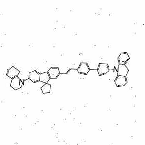 C1=CC2=C(CC1)N(c1ccc3c(c1)C1(CCCC1)c1cc(/C=C/c4ccc(-c5ccc(N6c7ccccc7Cc7ccccc76)cc5)cc4)ccc1-3)CCC2